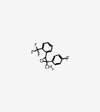 CC1(c2ccc(F)cc2)OC1c1ccccc1C(F)(F)F